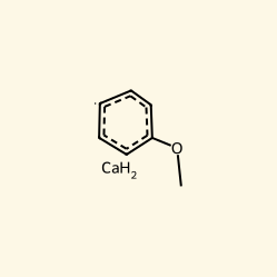 COc1cc[c]cc1.[CaH2]